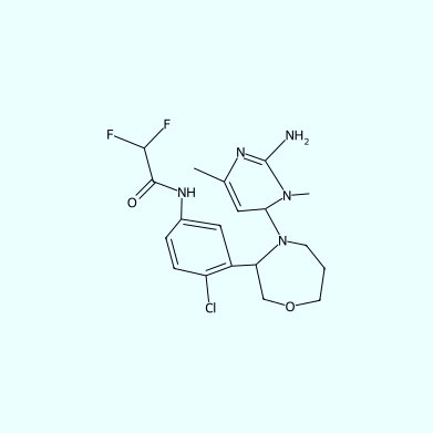 CC1=CC(N2CCCOCC2c2cc(NC(=O)C(F)F)ccc2Cl)N(C)C(N)=N1